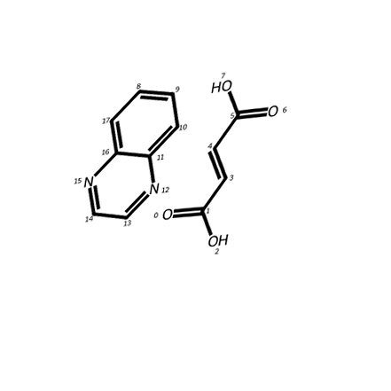 O=C(O)C=CC(=O)O.c1ccc2nccnc2c1